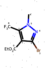 CCOC(=O)c1c(Br)nn(C)c1C(F)(F)F